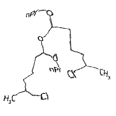 CCCOC(CCCC(C)Cl)OC(CCCC(C)Cl)OCCC